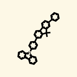 CC1(C)c2cc(-c3ccccc3)ccc2-c2ccc(-c3ccc(-n4c5ccccc5c5ccccc54)cc3)cc21